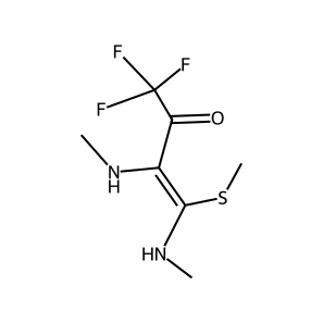 CNC(SC)=C(NC)C(=O)C(F)(F)F